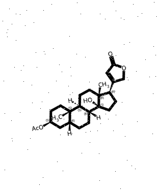 CC(=O)O[C@H]1CC[C@@]2(C)[C@H](CC[C@@H]3[C@@H]2CC[C@]2(C)[C@@H](C4=CC(=O)OC4)CC[C@]32O)C1